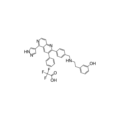 O=C(O)C(F)(F)F.Oc1cccc(CCNCc2ccc(-c3nc4ccnc(-c5cn[nH]c5)c4cc3-c3ccccc3)cc2)c1